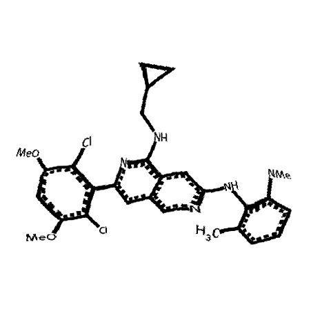 CNc1cccc(C)c1Nc1cc2c(NCC3CC3)nc(-c3c(Cl)c(OC)cc(OC)c3Cl)cc2cn1